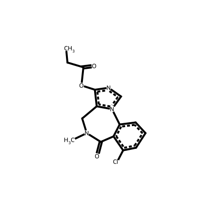 CCC(=O)Oc1ncn2c1CN(C)C(=O)c1c(Cl)cccc1-2